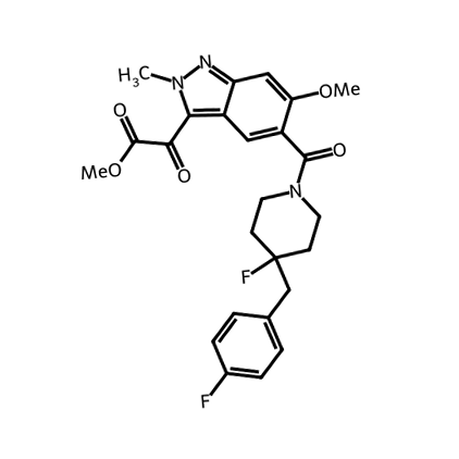 COC(=O)C(=O)c1c2cc(C(=O)N3CCC(F)(Cc4ccc(F)cc4)CC3)c(OC)cc2nn1C